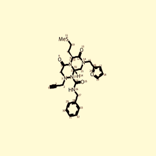 C#CCN1CC(=O)N2[C@@H](CCSC)C(=O)N(Cc3ccco3)C[C@@H]2N1C(=O)NCc1ccccc1